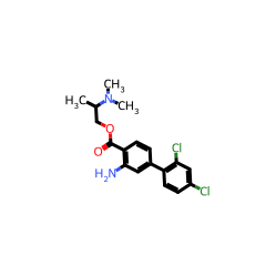 CC(COC(=O)c1ccc(-c2ccc(Cl)cc2Cl)cc1N)N(C)C